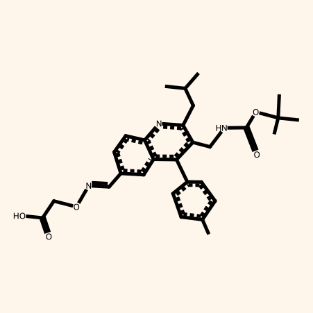 Cc1ccc(-c2c(CNC(=O)OC(C)(C)C)c(CC(C)C)nc3ccc(C=NOCC(=O)O)cc23)cc1